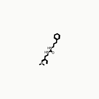 C=C/C(=C\N(C)C)CCNC(=O)NCCCC1=CCCC=C1